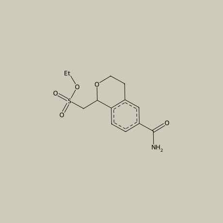 CCOS(=O)(=O)CC1OCCc2cc(C(N)=O)ccc21